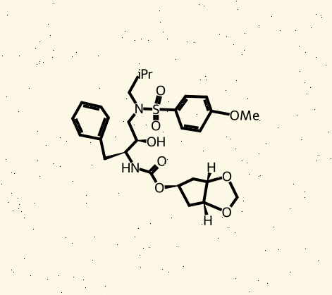 COc1ccc(S(=O)(=O)N(CC(C)C)C[C@@H](O)[C@H](Cc2ccccc2)NC(=O)O[C@H]2C[C@@H]3OCO[C@@H]3C2)cc1